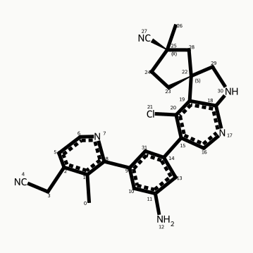 Cc1c(CC#N)ccnc1-c1cc(N)cc(-c2cnc3c(c2Cl)[C@@]2(CC[C@@](C)(C#N)C2)CN3)c1